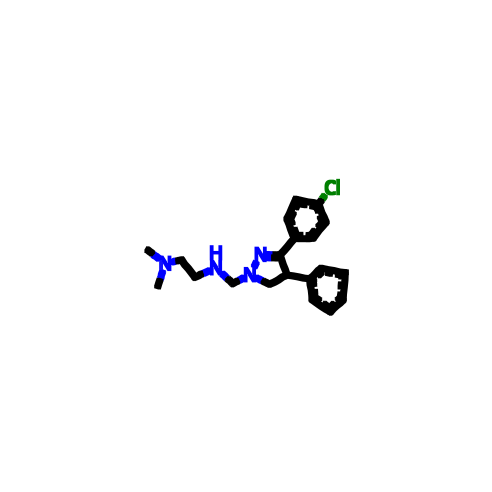 CN(C)CCNCN1CC(c2ccccc2)C(c2ccc(Cl)cc2)=N1